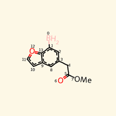 Bc1cc(CC(=O)OC)cc2ccoc12